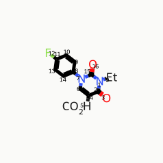 CCn1c(=O)c(C(=O)O)cn(-c2ccc(F)cc2)c1=O